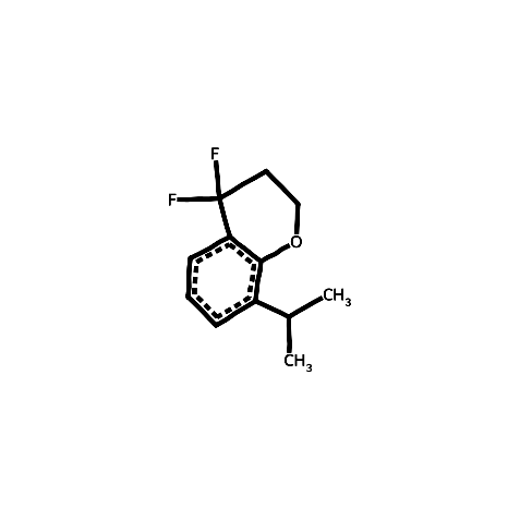 CC(C)c1cccc2c1OCCC2(F)F